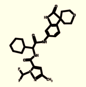 Cc1cc(C(=O)NC(C(=O)Nc2ccc3c(c2)NC(=O)C32CCOCC2)C2CCCCC2)n(C(F)F)n1